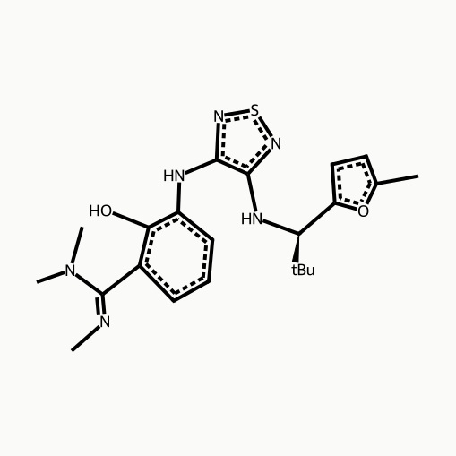 C/N=C(/c1cccc(Nc2nsnc2N[C@@H](c2ccc(C)o2)C(C)(C)C)c1O)N(C)C